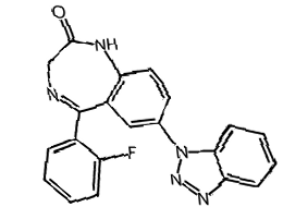 O=C1CN=C(c2ccccc2F)c2cc(-n3nnc4ccccc43)ccc2N1